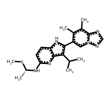 CS[C@@H](C)Nc1ccc2[nH]c(-c3cn4ncnc4c(C)c3C)c(C(C)C)c2n1